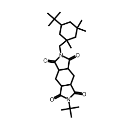 CC1(C)CC(C(C)(C)C)CC(C)(CN2C(=O)C3CC4C(=O)N(C(C)(C)C)C(=O)C4CC3C2=O)C1